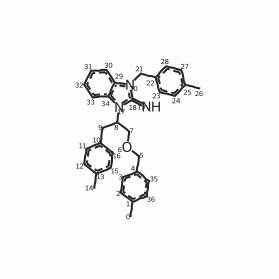 Cc1ccc(COCC(Cc2ccc(C)cc2)n2c(=N)n(Cc3ccc(C)cc3)c3ccccc32)cc1